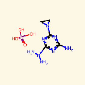 Nc1nc(N(N)N)nc(N2CC2)n1.O=P(O)(O)O